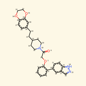 O=C(COc1ccccc1-c1ccc2[nH]ncc2c1)N1CCC(CCc2ccc3c(c2)OCCO3)CC1